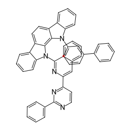 c1ccc(-c2cccc(-n3c4ccccc4c4ccc5c6ccccc6n(-c6nc(-c7ccnc(-c8ccccc8)n7)cc7ccccc67)c5c43)c2)cc1